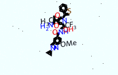 COc1cc(C(=O)NCC(O)(c2cc3c(c(-c4csc5ccccc45)n2)OC[C@]3(C)C(N)=O)C(F)(F)F)cc2cn(C3CC3)nc12